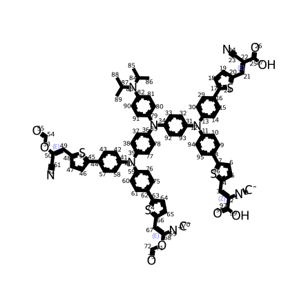 [C-]#[N+]/C(=C\c1ccc(-c2ccc(N(c3ccc(-c4ccc(/C=C(\C#N)C(=O)O)s4)cc3)c3ccc(N(c4ccc(N(c5ccc(-c6ccc(/C=C(\C#N)OC=O)s6)cc5)c5ccc(-c6ccc(/C=C(\[N+]#[C-])OC=O)s6)cc5)cc4)c4ccc(N(C(C)C)C(C)C)cc4)cc3)cc2)s1)C(=O)O